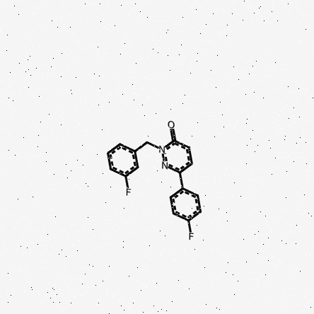 O=c1ccc(-c2ccc(F)cc2)nn1Cc1cccc(F)c1